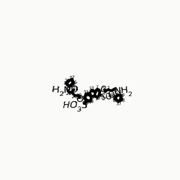 NCC(CCOc1cc2c(cc1S(=O)(=O)O)-c1cc(S(=O)(=O)O)c(OCCC(CN)Oc3ccccc3)cc1C2)Oc1ccccc1